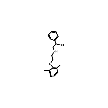 Cc1cccc(C)c1OCCNCC(O)c1ccccc1